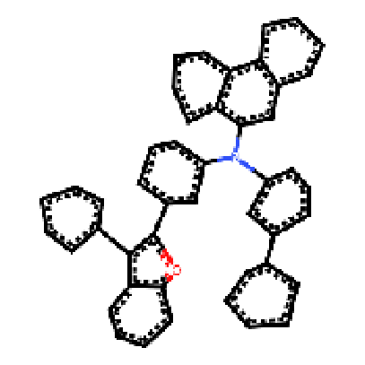 c1ccc(-c2cccc(N(c3cccc(-c4oc5ccccc5c4-c4ccccc4)c3)c3cc4ccccc4c4ccccc34)c2)cc1